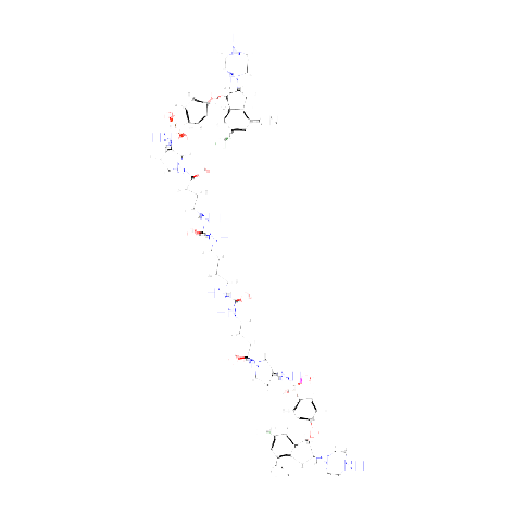 N#Cc1cc(Cl)cc2c1CC(N1CCNCC1)[C@H]2Oc1ccc(S(=O)(=O)N[C@@H]2CCN(C(=O)CCCNC(=O)NCCCCNC(=O)NCCCC(=O)N3CC[C@@H](NS(=O)(=O)c4ccc(O[C@H]5c6cc(Cl)cc(C#N)c6C[C@@H]5N5CCNCC5)cc4)C3)C2)cc1